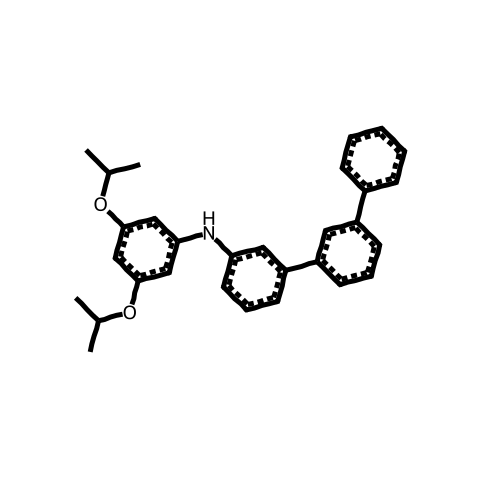 CC(C)Oc1cc(Nc2cccc(-c3cccc(-c4ccccc4)c3)c2)cc(OC(C)C)c1